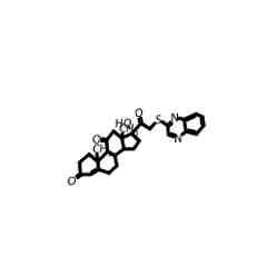 CC12CCC(=O)C=C1CCC1C2C(=O)CC2(C)C1CC[C@]2(O)C(=O)CSc1cnc2ccccc2n1